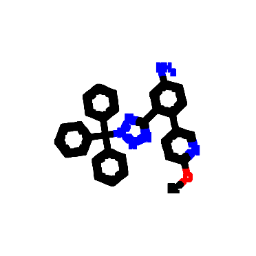 CCOc1ccc(-c2ccc(N)cc2-c2nnn(C(c3ccccc3)(c3ccccc3)c3ccccc3)n2)cn1